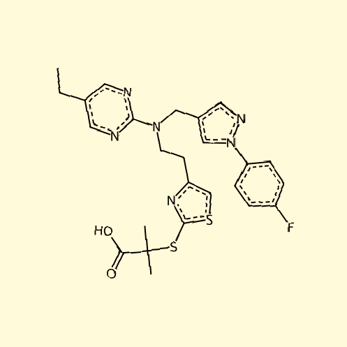 CCc1cnc(N(CCc2csc(SC(C)(C)C(=O)O)n2)Cc2cnn(-c3ccc(F)cc3)c2)nc1